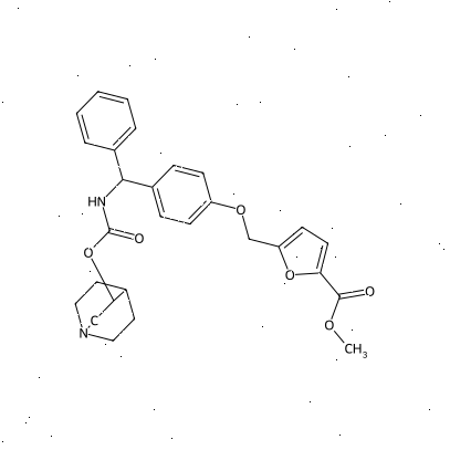 COC(=O)c1ccc(COc2ccc(C(NC(=O)OC3CN4CCC3CC4)c3ccccc3)cc2)o1